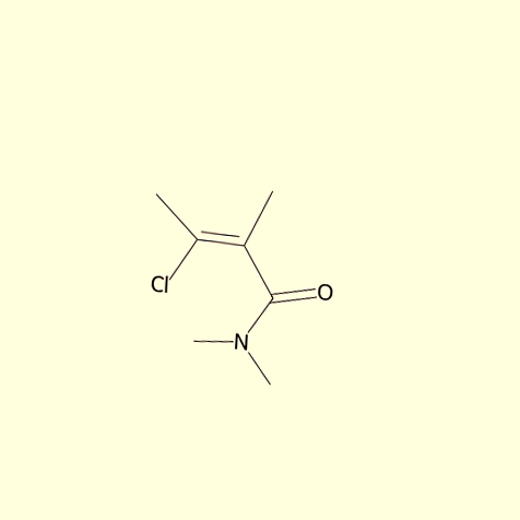 C/C(Cl)=C(\C)C(=O)N(C)C